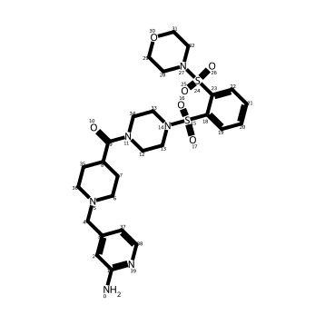 Nc1cc(CN2CCC(C(=O)N3CCN(S(=O)(=O)c4ccccc4S(=O)(=O)N4CCOCC4)CC3)CC2)ccn1